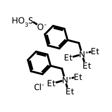 CC[N+](CC)(CC)Cc1ccccc1.CC[N+](CC)(CC)Cc1ccccc1.O=S(=O)([O-])O.[Cl-]